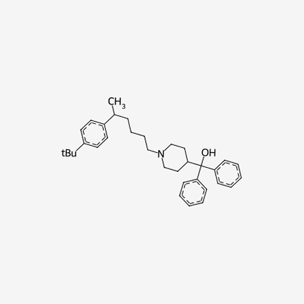 CC(CCCCN1CCC(C(O)(c2ccccc2)c2ccccc2)CC1)c1ccc(C(C)(C)C)cc1